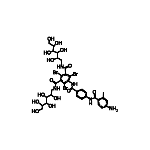 Cc1cc(N)ccc1C(=O)Nc1ccc(C(=O)Nc2c(Br)c(C(=O)NCC(O)C(O)C(O)C(O)CO)c(Br)c(C(=O)NCC(O)C(O)C(O)C(O)CO)c2Br)cc1